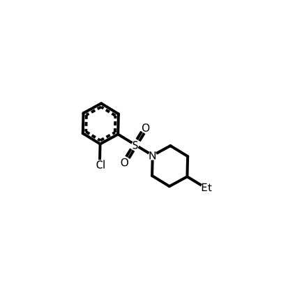 CCC1CCN(S(=O)(=O)c2ccccc2Cl)CC1